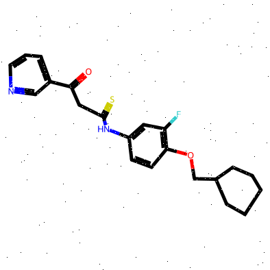 O=C(CC(=S)Nc1ccc(OCC2CCCCC2)c(F)c1)c1cccnc1